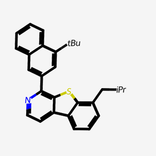 CC(C)Cc1cccc2c1sc1c(-c3cc(C(C)(C)C)c4ccccc4c3)nccc12